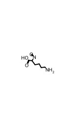 NCCCCC(N=O)C(=O)O